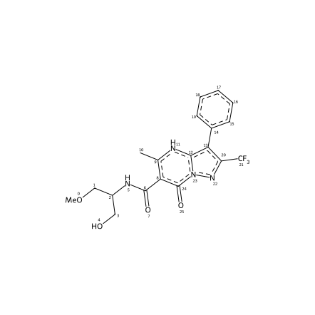 COCC(CO)NC(=O)c1c(C)[nH]c2c(-c3ccccc3)c(C(F)(F)F)nn2c1=O